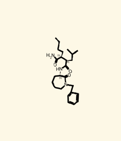 CCCC[C@H](C(N)=O)[C@@H](CC(C)C)C(=O)N[C@H]1CCCCN(Cc2ccccc2)C1=O